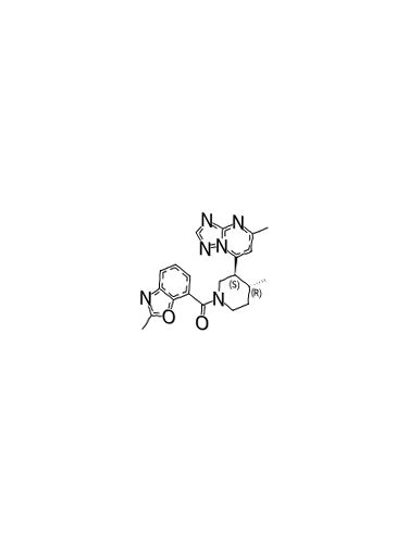 Cc1cc([C@@H]2CN(C(=O)c3cccc4nc(C)oc34)CC[C@H]2C)n2ncnc2n1